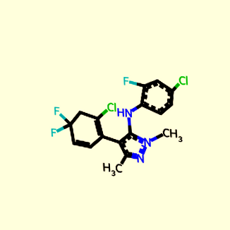 Cc1nn(C)c(Nc2ccc(Cl)cc2F)c1C1=C(Cl)CC(F)(F)C=C1